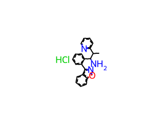 CC(c1ccccn1)C(N)c1ccccc1-c1noc2ccccc12.Cl